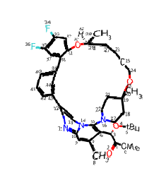 COC(=O)[C@@H](OC(C)(C)C)c1c(C)cc2nc3cn2c1N1CCC(C)(CC1)OCCCC[C@H](C)Oc1cc(F)c(F)cc1-c1cccc-3c1